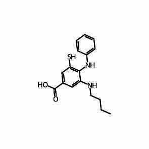 CCCCNc1cc(C(=O)O)cc(S)c1Nc1ccccc1